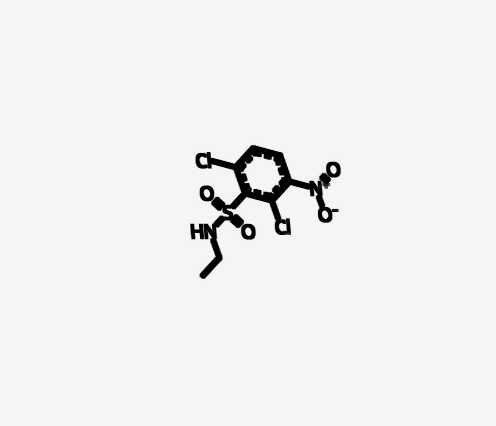 CCNS(=O)(=O)c1c(Cl)ccc([N+](=O)[O-])c1Cl